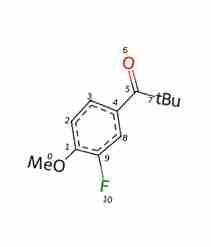 COc1ccc(C(=O)C(C)(C)C)cc1F